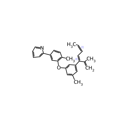 C=C(C)/C(=C\C=C/C)c1cc(C)cc(Oc2cc(-c3ccccn3)ccc2C)c1